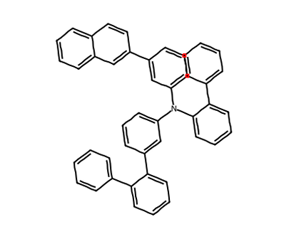 c1ccc(-c2ccccc2-c2cccc(N(c3cccc(-c4ccc5ccccc5c4)c3)c3ccccc3-c3ccccc3)c2)cc1